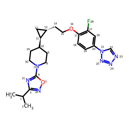 CC(C)c1noc(N2CCC([C@H]3C[C@@H]3CCOc3ccc(-n4cnnn4)cc3F)CC2)n1